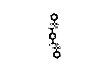 O=C(NS(=O)(=O)c1ccccc1)c1ccc(C(=O)NS(=O)(=O)c2ccccc2)cc1